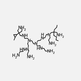 CCCCC(CN)(CCC)CN(CCN)CCNCCN(CCNCCN)CCN(CCNCC(CC)(CN)C1CC1C)CCN(CCN)NCCN